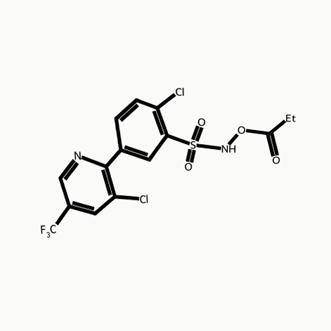 CCC(=O)ONS(=O)(=O)c1cc(-c2ncc(C(F)(F)F)cc2Cl)ccc1Cl